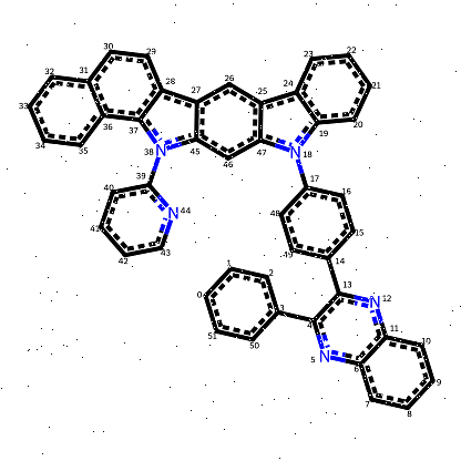 c1ccc(-c2nc3ccccc3nc2-c2ccc(-n3c4ccccc4c4cc5c6ccc7ccccc7c6n(-c6ccccn6)c5cc43)cc2)cc1